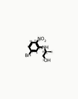 C[C@@H](CO)Nc1cc(Br)ccc1[N+](=O)[O-]